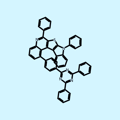 c1ccc(-c2nc(-c3ccccc3)nc(-c3ccc(-c4cccc5nc(-c6ccccc6)c6sc7c(c8ccccc8n7-c7ccccc7)c6c45)cc3)n2)cc1